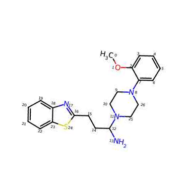 COc1ccccc1N1CCN(C(N)CCc2nc3ccccc3s2)CC1